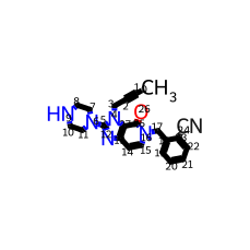 CC#CCn1c(N2CCNCC2)nc2ccn(Cc3ccccc3C#N)c(=O)c21